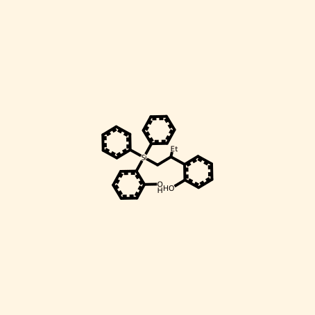 CCC(C[Si](c1ccccc1)(c1ccccc1)c1ccccc1O)c1ccccc1O